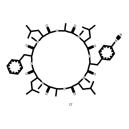 CC(C)CC1C(=O)OC(Cc2ccc([N+]#N)cc2)C(=O)N(C)C(CC(C)C)C(=O)OC(C)C(=O)N(C)C(CC(C)C)C(=O)OC(Cc2ccccc2)C(=O)N(C)C(CC(C)C)C(=O)OC(C)C(=O)N1C.[Cl-]